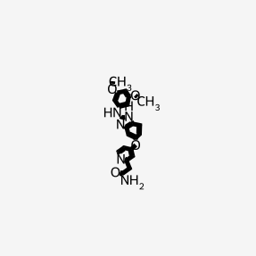 COc1cc(Nc2nc3cc(Oc4ccnc(CC(N)=O)c4)ccc3[nH]2)cc(OC)c1